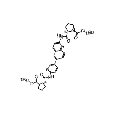 CC(C)(C)OC(=O)N1CCC[C@H]1C(=O)Nc1ccc(-c2ccc3nc(NC(=O)[C@@H]4CCCN4C(=O)OC(C)(C)C)ccc3c2)cn1